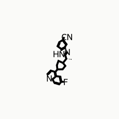 C[C@@H](c1nc2cc(C#N)ccc2[nH]1)C1CCC(c2ccnc3ccc(F)cc23)CC1